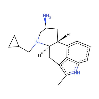 Cc1[nH]c2cccc3c2c1C[C@@H]1[C@@H]3C[C@H](N)CN1CC1CC1